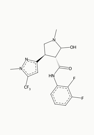 CN1C[C@H](c2cc(C(F)(F)F)n(C)n2)[C@@H](C(=O)Nc2cccc(F)c2F)C1O